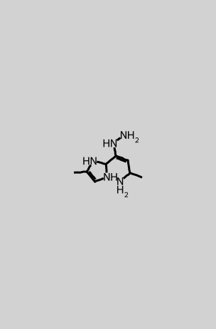 CC1=CNC(/C(=C\C(C)N)NN)N1